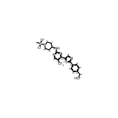 CS(=O)(=O)N1CCC(Nc2ncc(C(F)(F)F)c(-c3cnc(-c4ccc(CO)cc4)s3)n2)CC1